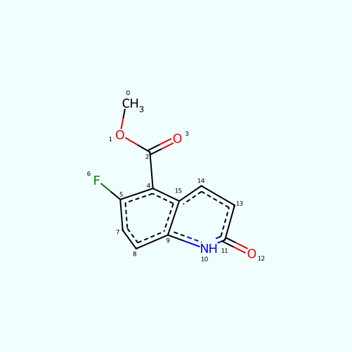 COC(=O)c1c(F)ccc2[nH]c(=O)ccc12